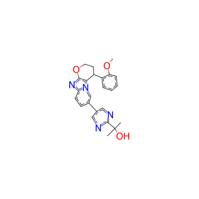 COc1ccccc1C1CCOc2nc3ccc(-c4cnc(C(C)(C)O)nc4)cn3c21